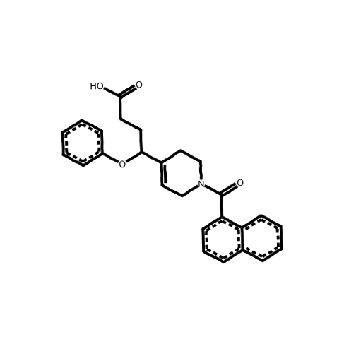 O=C(O)CCC(Oc1ccccc1)C1=CCN(C(=O)c2cccc3ccccc23)CC1